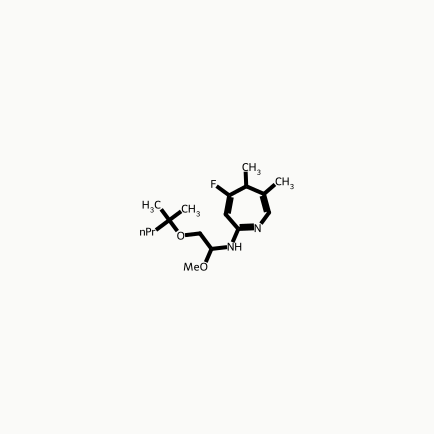 CCCC(C)(C)OCC(NC1=NC=C(C)C(C)C(F)=C1)OC